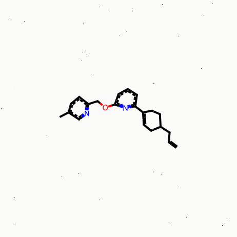 C=CCC1CC=C(c2cccc(OCc3ccc(C)cn3)n2)CC1